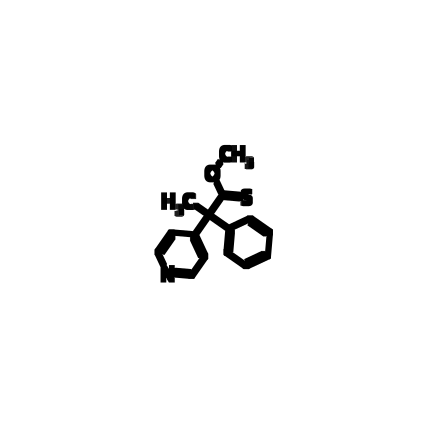 COC(=S)C(C)(c1ccccc1)c1ccncc1